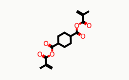 C=C(C)C(=O)OC(=O)C1CCC(C(=O)OC(=O)C(=C)C)CC1